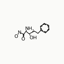 N[C@H](C(=O)N=O)[C@H](O)CCc1ccccc1